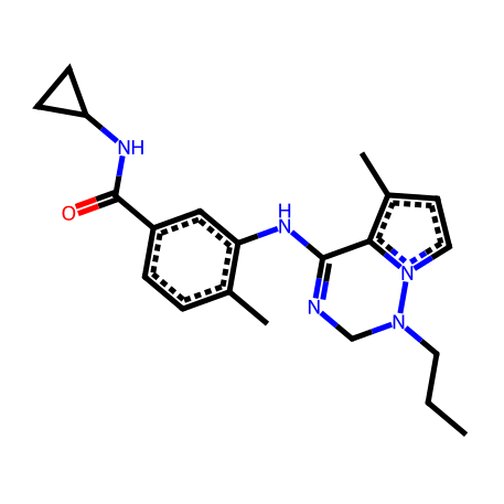 CCCN1CN=C(Nc2cc(C(=O)NC3CC3)ccc2C)c2c(C)ccn21